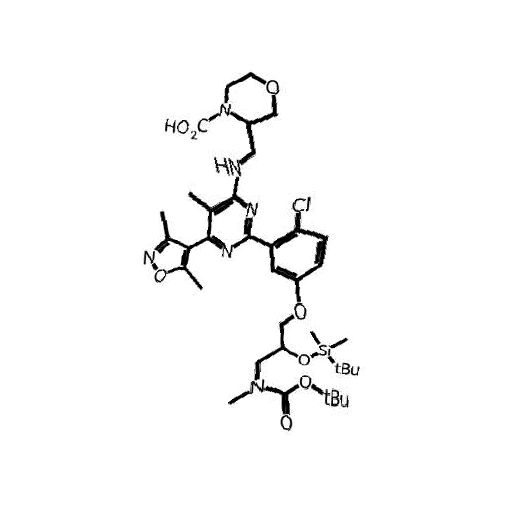 Cc1noc(C)c1-c1nc(-c2cc(OCC(CN(C)C(=O)OC(C)(C)C)O[Si](C)(C)C(C)(C)C)ccc2Cl)nc(NCC2COCCN2C(=O)O)c1C